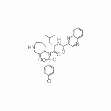 CC(C)C[C@H](NC(=O)c1cnc2ccccc2n1)C(=O)N(C1CCCNCC1=O)S(=O)(=O)c1ccc(Cl)cc1